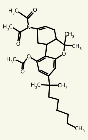 CCCCCCC(C)(C)c1cc(OC(C)=O)c2c(c1)OC(C)(C)C1CC=C(N(C(C)=O)C(C)=O)CC21